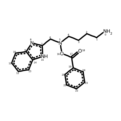 NCCCCN(Cc1nc2ccccc2[nH]1)OC(=O)c1ccccc1